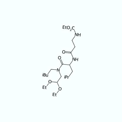 CCOC(=O)NCCC(=O)NC(CC(C)C)C(=O)N(CC(C)CC)CC(OCC)OCC